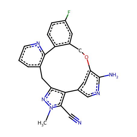 Cn1nc2c(c1C#N)-c1cnc(N)c(c1)OCc1cc(F)ccc1-c1ncccc1C2